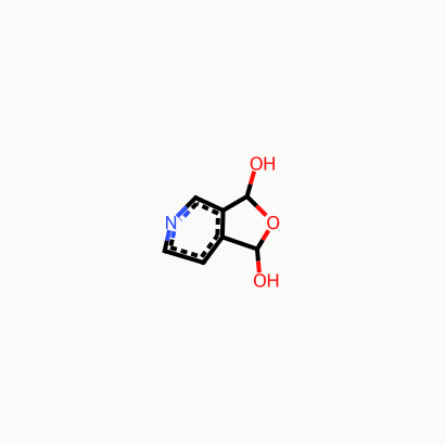 OC1OC(O)c2cnccc21